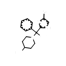 CC1CCN(C(C=O)(c2ccccc2)c2nc(N)c[nH]2)CC1